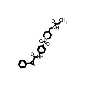 C=CC(=O)NCC1CCN(S(=O)(=O)c2ccc(NC(=O)C3CC3c3ccccc3)cc2)CC1